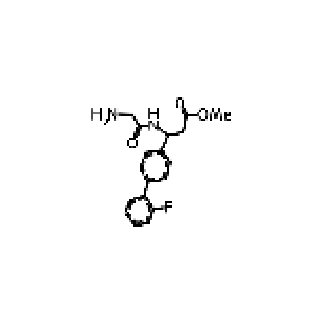 COC(=O)CC(NC(=O)CN)c1ccc(-c2ccccc2F)cc1